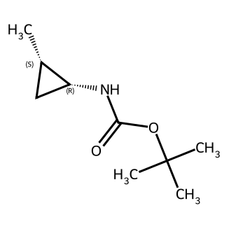 C[C@H]1C[C@H]1NC(=O)OC(C)(C)C